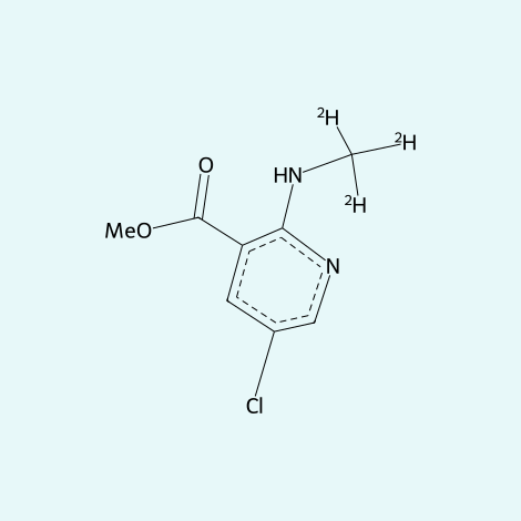 [2H]C([2H])([2H])Nc1ncc(Cl)cc1C(=O)OC